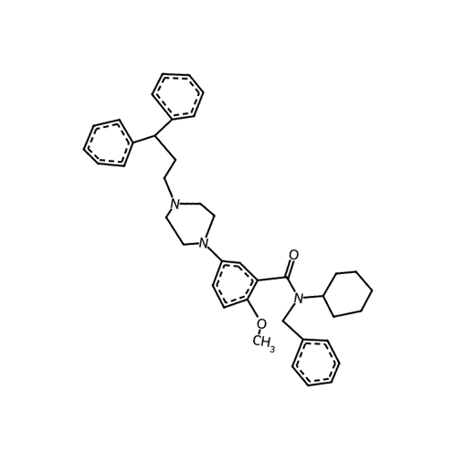 COc1ccc(N2CCN(CCC(c3ccccc3)c3ccccc3)CC2)cc1C(=O)N(Cc1ccccc1)C1CCCCC1